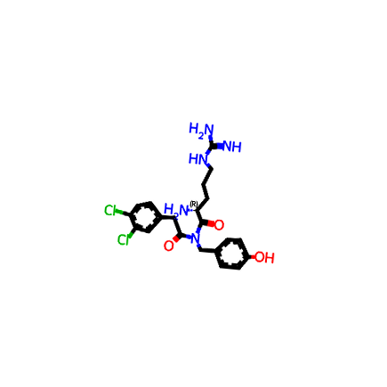 N=C(N)NCCC[C@@H](N)C(=O)N(Cc1ccc(O)cc1)C(=O)Cc1ccc(Cl)c(Cl)c1